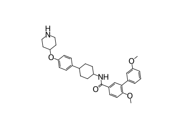 COc1cccc(-c2cc(C(=O)NC3CCC(c4ccc(OC5CCNCC5)cc4)CC3)ccc2OC)c1